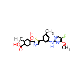 COc1nc(Nc2cc(C)cc(-c3cnc(C4(O)CCC(C(=O)O)C(C)C4)s3)c2)ncc1F